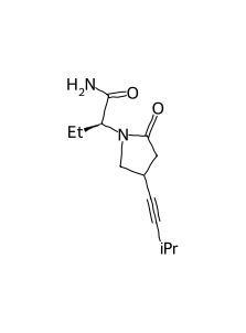 CC[C@@H](C(N)=O)N1CC(C#CC(C)C)CC1=O